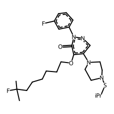 CC(C)SN1CCN(c2cnn(-c3cccc(F)c3)c(=O)c2OCCCCCCC(C)(C)F)CC1